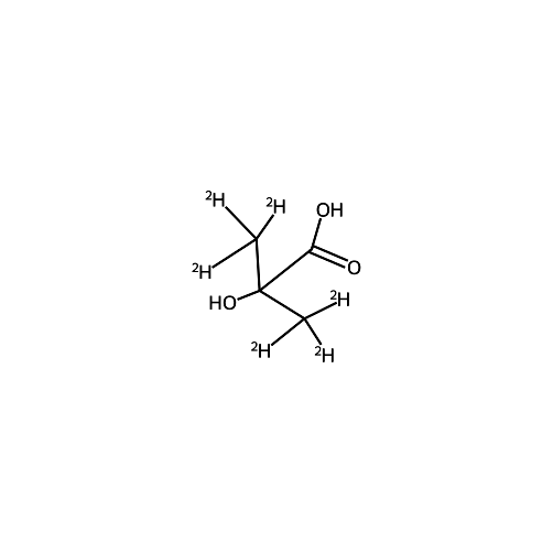 [2H]C([2H])([2H])C(O)(C(=O)O)C([2H])([2H])[2H]